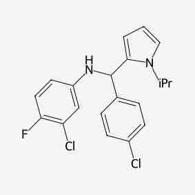 CC(C)n1cccc1C(Nc1ccc(F)c(Cl)c1)c1ccc(Cl)cc1